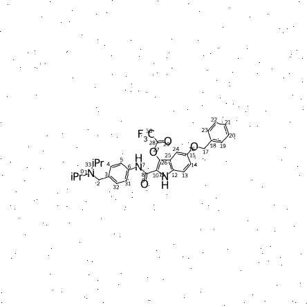 CC(C)N(Cc1ccc(NC(=O)c2[nH]c3ccc(OCc4ccccc4)cc3c2OC(=O)C(F)(F)F)cc1)C(C)C